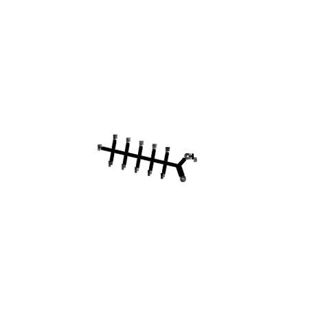 CC(=O)C(F)(F)C(F)(F)C(F)(F)C(F)(F)C(F)(F)F